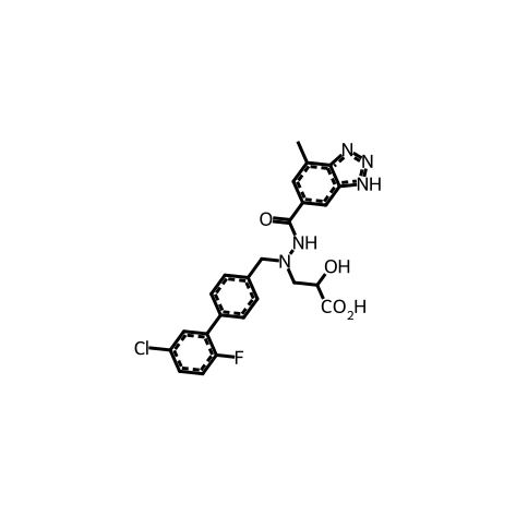 Cc1cc(C(=O)NN(Cc2ccc(-c3cc(Cl)ccc3F)cc2)CC(O)C(=O)O)cc2[nH]nnc12